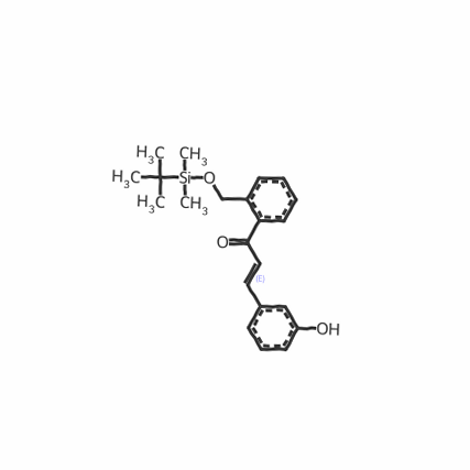 CC(C)(C)[Si](C)(C)OCc1ccccc1C(=O)/C=C/c1cccc(O)c1